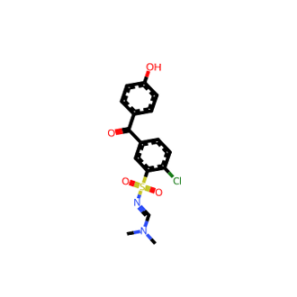 CN(C)C=NS(=O)(=O)c1cc(C(=O)c2ccc(O)cc2)ccc1Cl